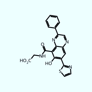 O=C(O)CNC(=O)c1c(O)c(-c2nccs2)cc2ncc(-c3ccccc3)nc12